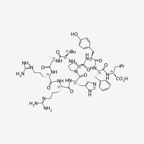 CC[C@H](C)[C@H](N)C(=O)N[C@@H](C)C(=O)N[C@@H](CCCN=C(N)N)C(=O)N[C@@H](CCCN=C(N)N)C(=O)N[C@@H](Cc1cnc[nH]1)C(=O)N1CCC[C@H]1C(=O)N[C@@H](Cc1ccc(O)cc1)C(=O)N[C@@H](Cc1ccccc1)C(=O)N[C@@H](CC(C)C)C(=O)O